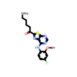 CNCCCCC(=O)c1nc2c(Nc3ccc(F)cc3OC(C)C)ncnc2s1